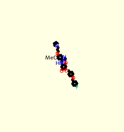 COc1cc2c(NC3=CC(=O)C(OCc4ccc(OCc5ccc(F)cc5)cc4)=CC3=O)ncnc2cc1OCCCN1CCCC1